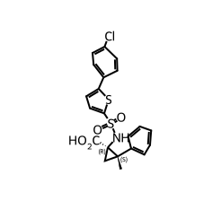 C[C@@]1(c2ccccc2)C[C@]1(NS(=O)(=O)c1ccc(-c2ccc(Cl)cc2)s1)C(=O)O